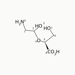 NCC(O)O[C@@H](CO)C(=O)O